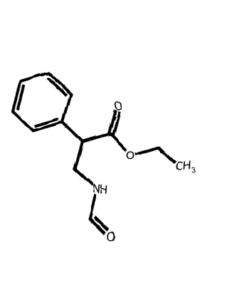 CCOC(=O)C(CNC=O)c1ccccc1